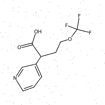 O=C(O)C(CCOC(F)(F)F)c1cccnc1